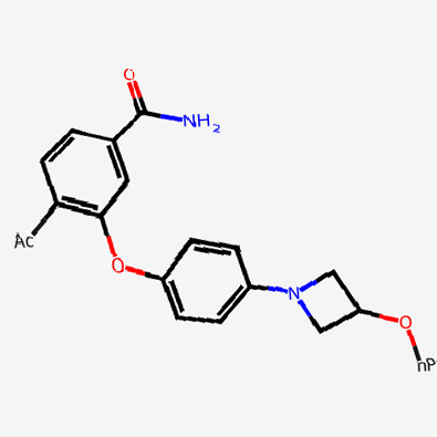 CCCOC1CN(c2ccc(Oc3cc(C(N)=O)ccc3C(C)=O)cc2)C1